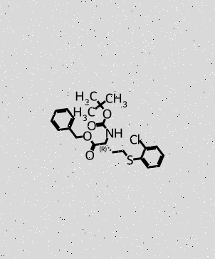 CC(C)(C)OC(=O)N[C@H](CCSc1ccccc1Cl)C(=O)OCc1ccccc1